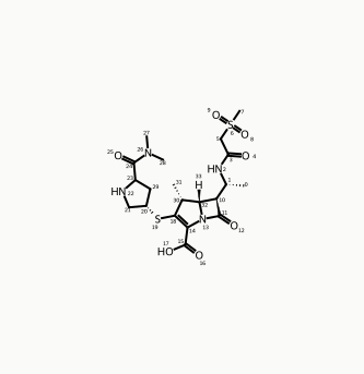 C[C@@H](NC(=O)CS(C)(=O)=O)[C@H]1C(=O)N2C(C(=O)O)=C(S[C@@H]3CNC(C(=O)N(C)C)C3)[C@H](C)[C@H]12